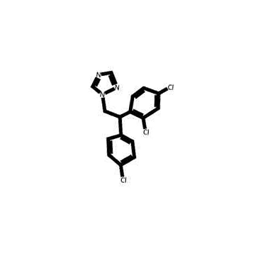 Clc1ccc(C(Cn2cncn2)c2ccc(Cl)cc2Cl)cc1